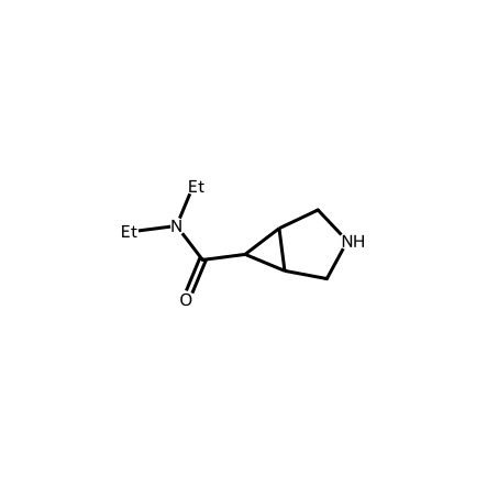 CCN(CC)C(=O)C1C2CNCC21